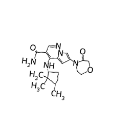 CC1CC[C@@H](Nc2c(C(N)=O)cnn3cc(N4CCOCC4=O)cc23)C1(C)C